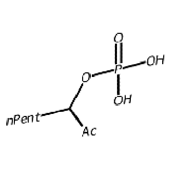 CCCCCC(OP(=O)(O)O)C(C)=O